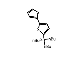 CCC[CH2][Sn]([CH2]CCC)([CH2]CCC)[c]1ccc(-c2cccs2)s1